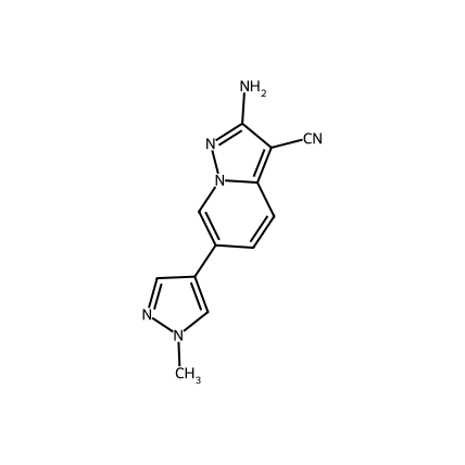 Cn1cc(-c2ccc3c(C#N)c(N)nn3c2)cn1